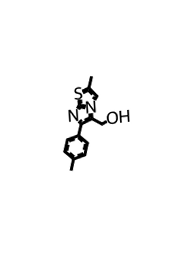 Cc1ccc(-c2nc3sc(C)cn3c2CO)cc1